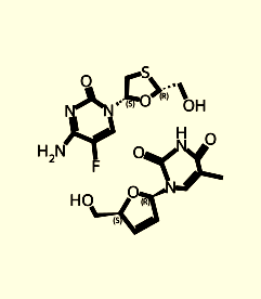 Cc1cn([C@H]2C=C[C@@H](CO)O2)c(=O)[nH]c1=O.Nc1nc(=O)n([C@@H]2CS[C@H](CO)O2)cc1F